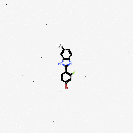 Fc1cc(Br)ccc1-c1nc2ccc(C(F)(F)F)cc2[nH]1